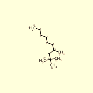 [CH2]CCCCCC(C)CC(C)(C)C